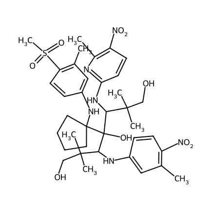 Cc1cc(NC(C(C)(C)CO)C(O)(C(Nc2ccc([N+](=O)[O-])c(C)n2)C(C)(C)CO)C2(Nc3ccc(S(C)(=O)=O)c(C)c3)CCCC2)ccc1[N+](=O)[O-]